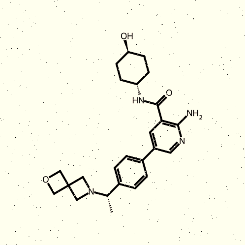 C[C@@H](c1ccc(-c2cnc(N)c(C(=O)N[C@H]3CC[C@H](O)CC3)c2)cc1)N1CC2(COC2)C1